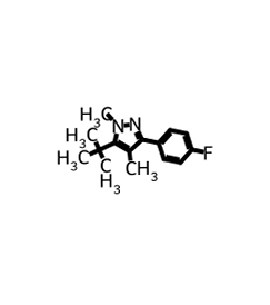 Cc1c(-c2ccc(F)cc2)nn(C)c1C(C)(C)C